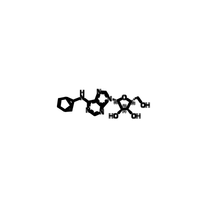 OC[C@H]1O[C@@H](n2cnc3c(NC4CC5C=CC4C5)ncnc32)[C@H](O)[C@@H]1O